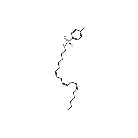 CCCCC/C=C\C/C=C\C/C=C\CCCCCOS(=O)(=O)c1ccc(C)cc1